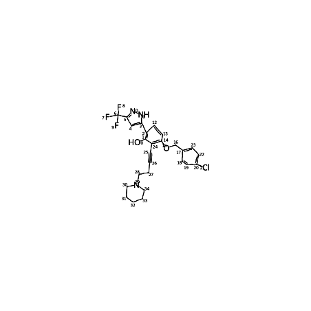 Oc1c(-c2cc(C(F)(F)F)n[nH]2)ccc(OCc2ccc(Cl)cc2)c1C#CCCN1CCCCC1